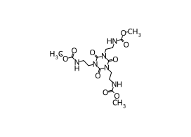 COC(=O)NCCn1c(=O)n(CCNC(=O)OC)c(=O)n(CCNC(=O)OC)c1=O